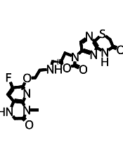 CN1C(=O)CNc2cc(F)c(OCCNC[C@H]3CN(c4cnc5c(n4)NC(=O)CS5)C(=O)O3)nc21